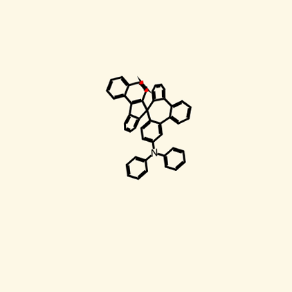 c1ccc(N(c2ccccc2)c2ccc3c(c2)-c2ccccc2-c2ccccc2C32c3ccccc3-c3c2c2ccccc2c2ccccc32)cc1